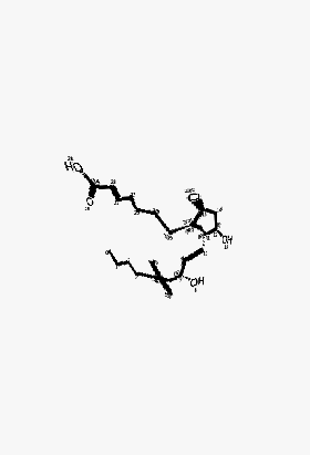 CCCCC(C)(C)[C@@H](O)C=C[C@H]1[C@H](O)CC(=O)[C@@H]1CCCCC=CC(=O)O